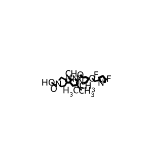 Cn1c2c(c3cc(C(C)(C)C)c(-n4ccc(OCc5ncc(F)cc5F)cc4=O)nc31)CCN(C(=O)O)CC2